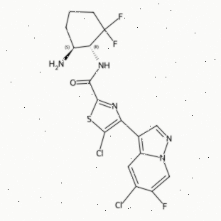 N[C@H]1CCCC(F)(F)[C@@H]1NC(=O)c1nc(-c2cnn3cc(F)c(Cl)cc23)c(Cl)s1